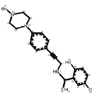 CC(NCC#Cc1ccc(N2CCN(C(C)(C)C)CC2)cc1)c1cc(Cl)ccc1O